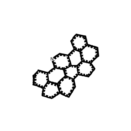 c1cc2ccc3ccc4c5ccc6ccc7cccc8c9ncc%10c(c1)c2c3c4c%10c9c5c6c78